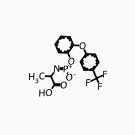 CC(/N=[P+](\[O-])Oc1ccccc1Oc1ccc(C(F)(F)F)cc1)C(=O)O